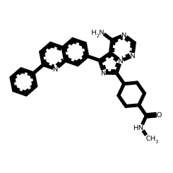 CNC(=O)C1CCC(c2nc(-c3ccc4ccc(-c5ccccc5)nc4c3)c3c(N)ncnn23)CC1